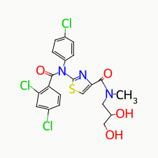 CN(CC(O)CO)C(=O)c1csc(N(C(=O)c2ccc(Cl)cc2Cl)c2ccc(Cl)cc2)n1